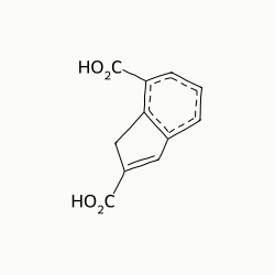 O=C(O)C1=Cc2cccc(C(=O)O)c2C1